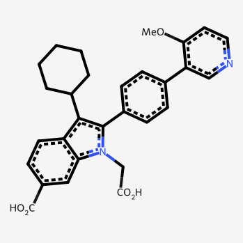 COc1ccncc1-c1ccc(-c2c(C3CCCCC3)c3ccc(C(=O)O)cc3n2CC(=O)O)cc1